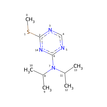 CSc1ncnc(N(C(C)C)C(C)C)n1